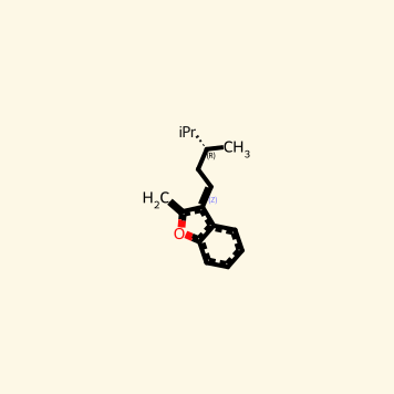 C=c1oc2ccccc2/c1=C/C[C@@H](C)C(C)C